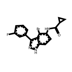 O=C(Nc1ccc2[nH]nc(-c3cccc(F)c3)c2c1Br)C1CC1